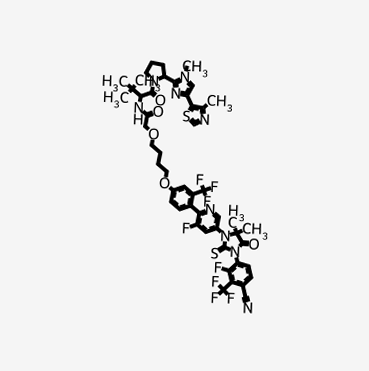 Cc1ncsc1-c1cn(C)c(C2CCCN2C(=O)C(NC(=O)COCCCCOc2ccc(-c3ncc(N4C(=S)N(c5ccc(C#N)c(C(F)(F)F)c5F)C(=O)C4(C)C)cc3F)c(C(F)(F)F)c2)C(C)(C)C)n1